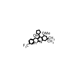 CO[C@H]1CC(C)(C)Cc2nc(C(C)C)c([C@@H](O)c3ccc(C(F)(F)F)cc3)c(C3CCCC3)c21